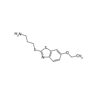 CCOc1ccc2nc(SCCCN)sc2c1